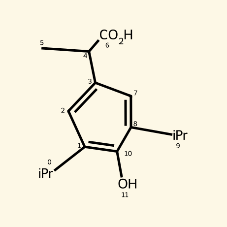 CC(C)c1cc(C(C)C(=O)O)cc(C(C)C)c1O